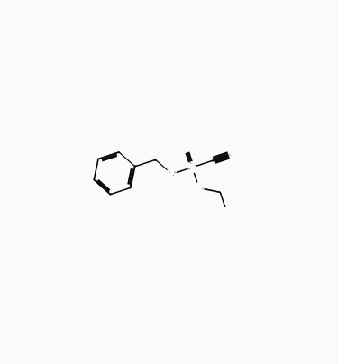 C#CP(=O)(NCc1ccccc1)OCC